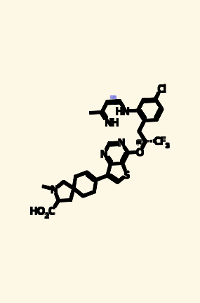 CC(=N)/C=C\Nc1cc(Cl)ccc1C[C@@H](Oc1ncnc2c(C3=CCC4(CC3)CC(C(=O)O)N(C)C4)csc12)C(F)(F)F